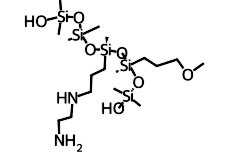 COCCC[Si@@](C)(O[Si](C)(C)O)O[Si@](C)(CCCNCCN)O[Si](C)(C)O[Si](C)(C)O